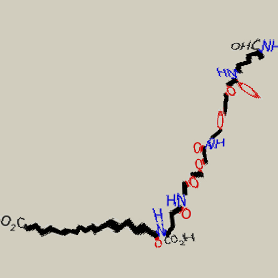 C[C@@](N)(C=O)CCCCNC(=O)COCCOCCNC(=O)COCCOCCNC(=O)CC[C@H](NC(=O)CCCCCCCCCCCCCCCCC(=O)O)C(=O)O